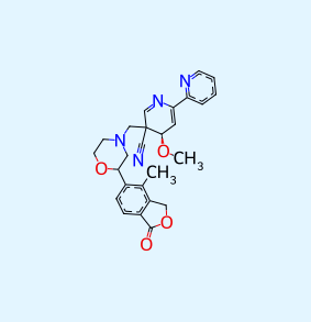 CO[C@@H]1C=C(c2ccccn2)N=CC1(C#N)CN1CCOC(c2ccc3c(c2C)COC3=O)C1